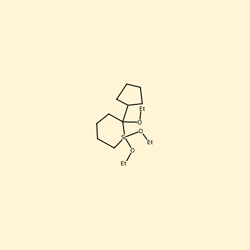 CCOC1(C2CCCC2)CCCC[Si]1(OCC)OCC